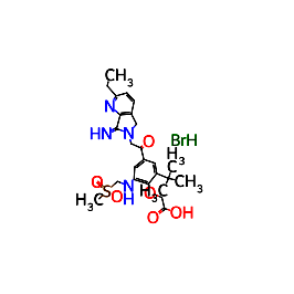 Br.CCc1ccc2c(n1)C(=N)N(CC(=O)c1cc(NCS(C)(=O)=O)c(OCC(=O)O)c(C(C)(C)C)c1)C2